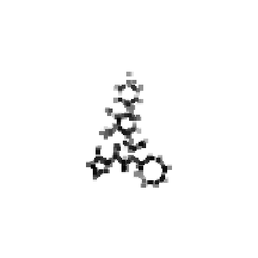 Cc1nocc1C(=O)NC(C(=O)Nc1ccc(N2CCN(C)CC2)c(F)c1N)C1CCCCCCC1